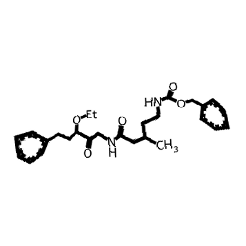 CCOC(CCc1ccccc1)C(=O)CNC(=O)CC(C)CCNC(=O)OCc1ccccc1